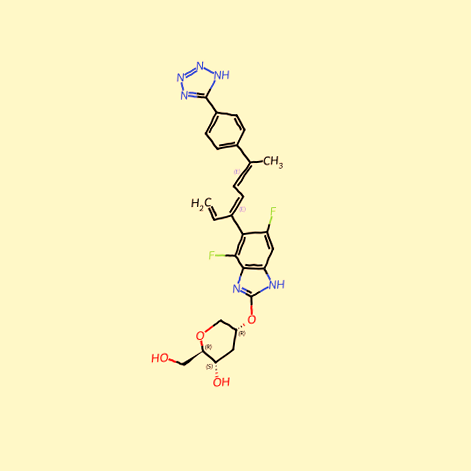 C=C/C(=C\C=C(/C)c1ccc(-c2nnn[nH]2)cc1)c1c(F)cc2[nH]c(O[C@H]3CO[C@H](CO)[C@@H](O)C3)nc2c1F